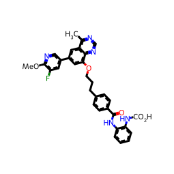 COc1ncc(-c2cc(OCCCc3ccc(C(=O)Nc4ccccc4NC(=O)O)cc3)c3ncnc(C)c3c2)cc1F